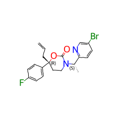 C=CC[C@]1(c2ccc(F)cc2)CCN([C@@H](C)c2ccc(Br)cn2)C(=O)O1